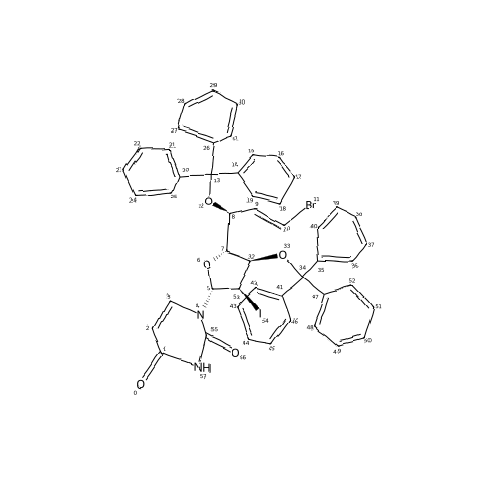 O=c1ccn([C@@H]2O[C@H]([C@H](C=CBr)OC(c3ccccc3)(c3ccccc3)c3ccccc3)[C@@H](OC(c3ccccc3)(c3ccccc3)c3ccccc3)[C@H]2I)c(=O)[nH]1